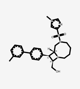 Cc1cccc(-c2ccc([C@@H]3[C@H](CO)N4CCCCN(S(=O)(=O)c5cn(C)cn5)C[C@@H]34)cc2)c1